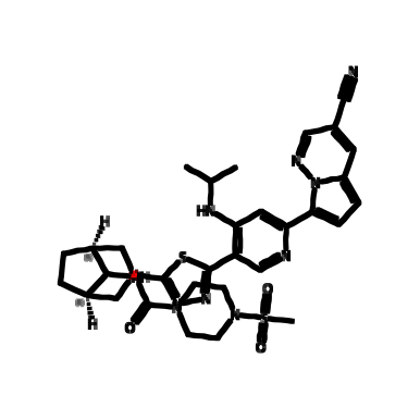 CC(C)Nc1cc(-c2ccc3cc(C#N)cnn23)ncc1-c1nnc(N2C[C@H]3CC[C@@H](C2)C3NC(=O)N2CCN(S(C)(=O)=O)CC2)s1